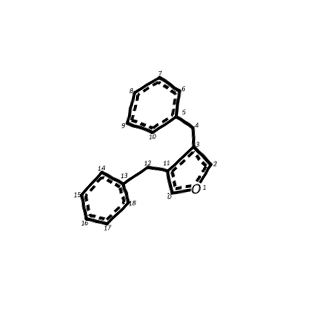 [c]1occ(Cc2ccccc2)c1Cc1ccccc1